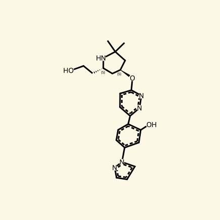 CC1(C)C[C@@H](Oc2ccc(-c3ccc(-n4cccn4)cc3O)nn2)C[C@H](CCO)N1